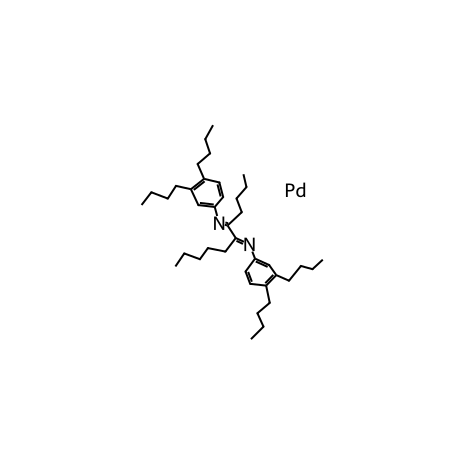 CCCCCC(=N\c1ccc(CCCC)c(CCCC)c1)/C(CCCC)=N/c1ccc(CCCC)c(CCCC)c1.[Pd]